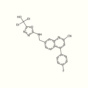 CCC(O)(CC)c1nnc(NCc2ccc3c(-c4ccc(F)cc4)cc(C#N)nc3c2)o1